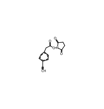 C#Cc1ccc(CC(=O)ON2C(=O)CCC2=O)cc1